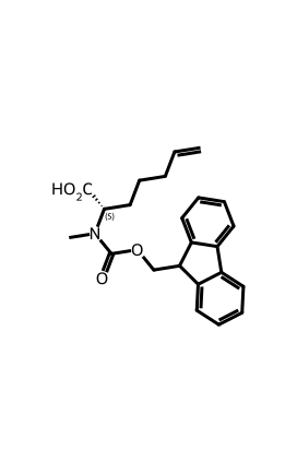 C=CCCC[C@@H](C(=O)O)N(C)C(=O)OCC1c2ccccc2-c2ccccc21